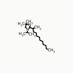 C=C(CCCCCCCCCC)C1=NC(C)(C)CN1C(C)C